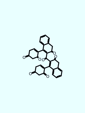 O=C1CC=C(C2=C(C(=O)C3=C(C4=CCC(=O)CC4=O)c4ccccc4CC3=O)C(=O)Cc3ccccc32)C(=O)C1